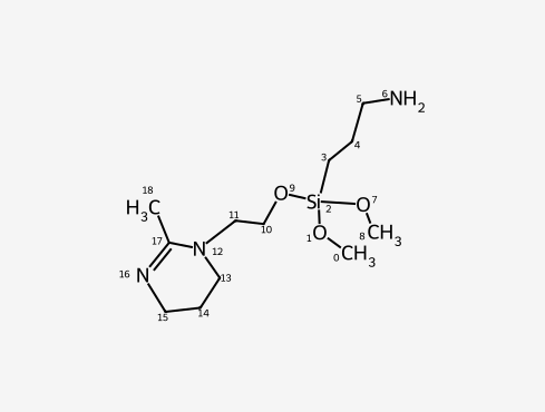 CO[Si](CCCN)(OC)OCCN1CCCN=C1C